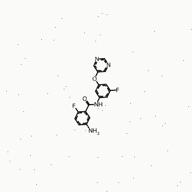 Nc1ccc(F)c(C(=O)Nc2cc(F)cc(Oc3cncnc3)c2)c1